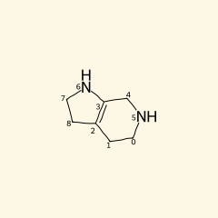 C1CC2=C(CN1)NCC2